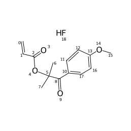 C=CC(=O)OC(C)(C)C(=O)c1ccc(OC)cc1.F